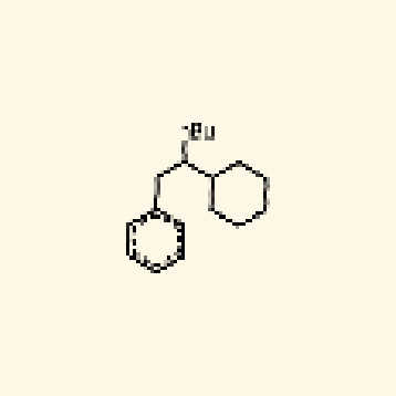 CCCCC(Cc1ccccc1)C1CCCCC1